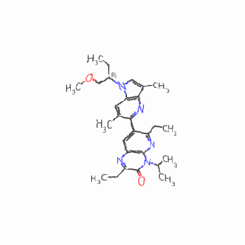 CCc1nc2c(cc1-c1nc3c(C)cn([C@H](CC)COC)c3cc1C)nc(CC)c(=O)n2C(C)C